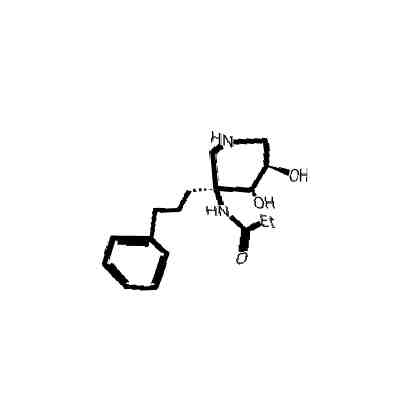 CCC(=O)N[C@@]1(CCCc2ccccc2)CNC[C@@H](O)[C@@H]1O